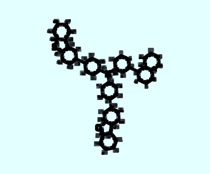 c1cc(-c2cccc3ccccc23)cc(N(c2ccc(-c3ccc4c(c3)oc3ccccc34)cc2)c2ccc(-c3ccc4sc5ccccc5c4c3)cc2)c1